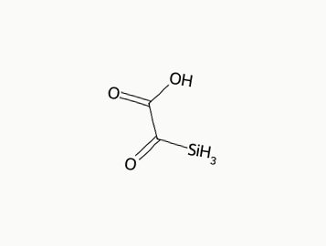 O=C(O)C(=O)[SiH3]